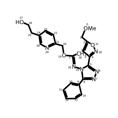 COCc1cc(-c2nnc(-c3ccccc3)n2/N=C(\C)OCc2ccc(CCO)cn2)no1